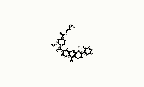 CCCOC(=O)N1CCN(C(=O)c2ccc3c(Cl)c4c(nc3c2)CC(c2ncccc2C)CC4)[C@@H](C)C1